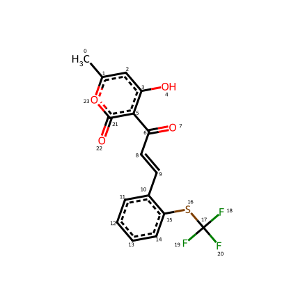 Cc1cc(O)c(C(=O)/C=C/c2ccccc2SC(F)(F)F)c(=O)o1